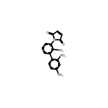 Nc1c(-c2ccc([N+](=O)[O-])cc2[N+](=O)[O-])cccc1N1C(=O)C=CC1=O